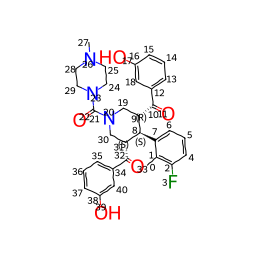 Cc1c(F)cccc1[C@@H]1[C@@H](C(=O)c2cccc(O)c2)CN(C(=O)N2CCN(C)CC2)C[C@H]1C(=O)c1cccc(O)c1